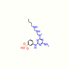 CCCCNCNCN(C)c1nc(N)nc(Nc2cccc(S(=O)(=O)O)c2)n1